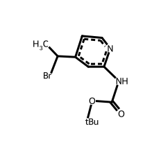 CC(Br)c1ccnc(NC(=O)OC(C)(C)C)c1